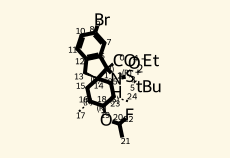 CCOC(=O)[C@]1(N[S@@+]([O-])C(C)(C)C)c2cc(Br)ccc2C[C@@]12C[C@@H](C)[C@H](OC(C)F)[C@@H](C)C2